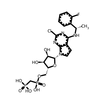 C[C@H](Nc1nc(Cl)nc2c1ccn2[C@@H]1O[C@H](COP(=O)(O)CP(=O)(O)O)[C@@H](O)[C@H]1O)c1ccccc1F